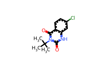 CC(C)(C)n1c(=O)[nH]c2cc(Cl)ccc2c1=O